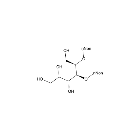 CCCCCCCCCO[C@@H]([C@H](O)[C@@H](O)CO)[C@@H](CO)OCCCCCCCCC